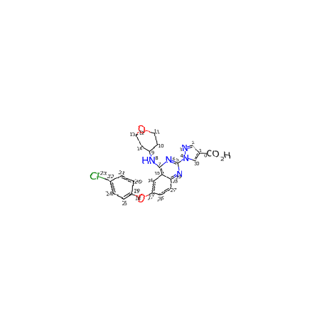 O=C(O)c1cnn(-c2nc(NC3CCOCC3)c3cc(Oc4ccc(Cl)cc4)ccc3n2)c1